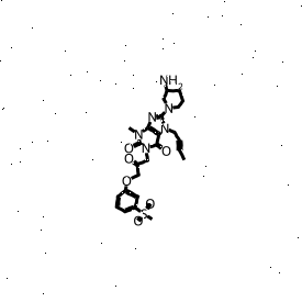 CC#CCn1c(N2CCCC(N)C2)nc2c1c(=O)n(CC(=O)COc1cccc(S(C)(=O)=O)c1)c(=O)n2C